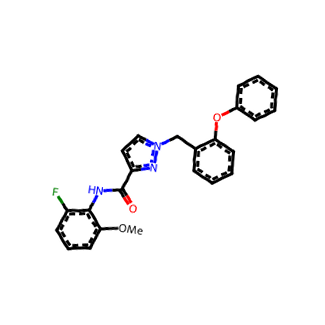 COc1cccc(F)c1NC(=O)c1ccn(Cc2ccccc2Oc2ccccc2)n1